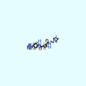 O=C(NCCN1CCCC1)c1ccc(C(=O)Nc2ccc(-n3cncn3)cc2)s1